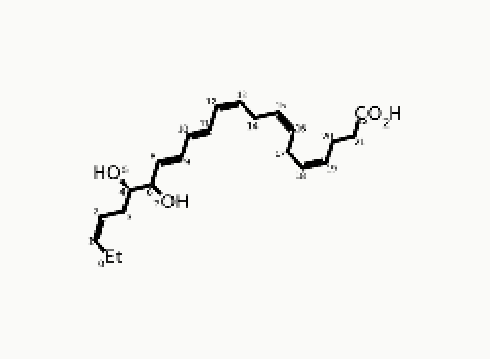 CC/C=C\C[C@@H](O)C(O)/C=C/C=C/C=C\C/C=C\C/C=C\CCC(=O)O